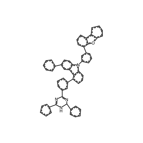 c1ccc(C2=NC(c3cccc(-c4cccc5c4c4cc(-c6ccccc6)ccc4n5-c4cccc(-c5cccc6c5oc5ccccc56)c4)c3)=NC(c3ccccc3)N2)cc1